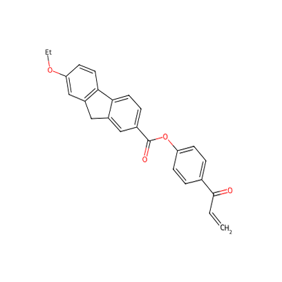 C=CC(=O)c1ccc(OC(=O)c2ccc3c(c2)Cc2cc(OCC)ccc2-3)cc1